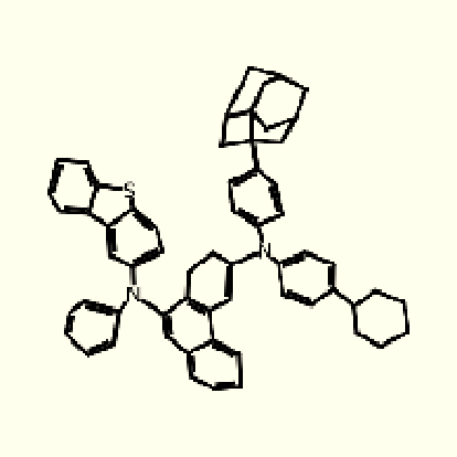 C1=C(N(c2ccc(C3CCCCC3)cc2)c2ccc(C34CC5CC6CC(C3)C4(C6)C5)cc2)CCc2c(N(c3ccccc3)c3ccc4sc5ccccc5c4c3)cc3ccccc3c21